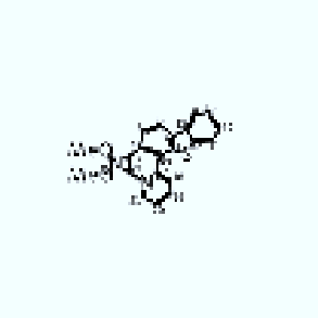 CO[N+]1(OC)C2c3ccc4c(sc5ccccc54)c3-c3cccc[n+]3C21